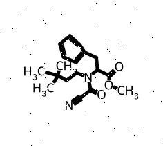 COC(=O)C(Cc1ccccc1)N(CCC(C)(C)C)C(=O)C#N